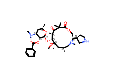 CO[C@]1(C)C[C@@H](C)CN(C)[C@H]([C@H]2CCNC2)COC(=O)C(C)(C)C(=O)[C@H](C)[C@H]1O[C@@H]1O[C@H](C)C[C@H](N(C)C)[C@H]1OC(=O)c1ccccc1